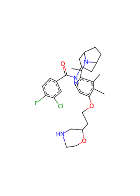 Cc1c(OCCC2CNCCO2)ccc(C(C)N2C3CCC2CC(NC(=O)c2ccc(F)c(Cl)c2)C3)c1C